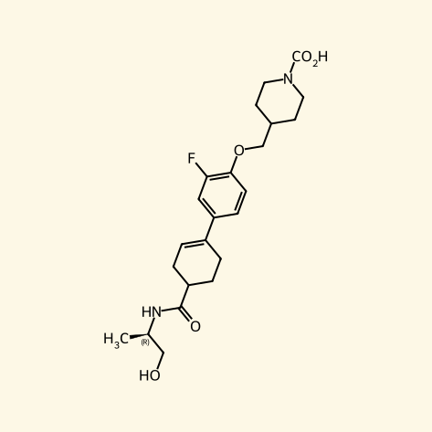 C[C@H](CO)NC(=O)C1CC=C(c2ccc(OCC3CCN(C(=O)O)CC3)c(F)c2)CC1